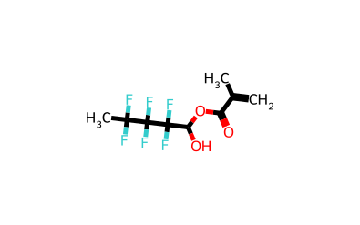 C=C(C)C(=O)OC(O)C(F)(F)C(F)(F)C(C)(F)F